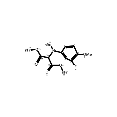 CCCCN(c1ccc(OC)c(F)c1)C(C(=O)OCCC)C(=O)OCCC